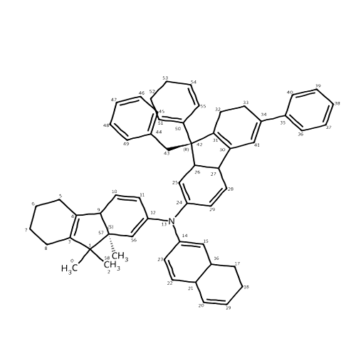 CC1(C)C2=C(CCCC2)C2C=CC(N(C3=CC4CCC=CC4C=C3)C3=CC4C(C=C3)C3=C(CCC(c5ccccc5)=C3)[C@@]4(Cc3ccccc3)C3=CCCC=C3)=C[C@]21C